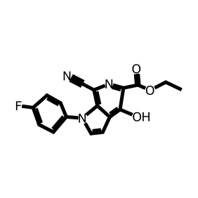 CCOC(=O)c1nc(C#N)c2c(ccn2-c2ccc(F)cc2)c1O